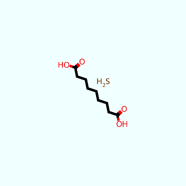 O=C(O)CCCCCCCC(=O)O.S